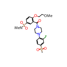 CNS(=O)(=O)c1ccc(OCCOC)c(C(=O)N2CCN(c3ccc(S(C)(=O)=O)cc3F)CC2)c1